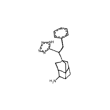 NC1C2CC3CC1CC(C(Cc1ccccc1)c1nnn[nH]1)(C3)C2